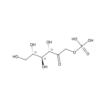 O=C(COP(=O)(O)O)[C@@H](O)[C@@H](O)[C@@H](O)CO